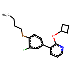 O=C(O)CCCSc1ccc(-c2cccnc2OC2CCC2)cc1F